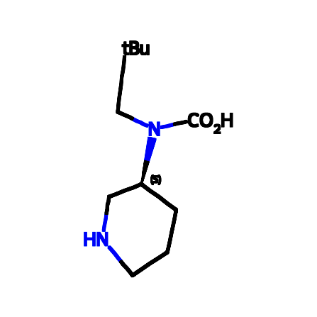 CC(C)(C)CN(C(=O)O)[C@H]1CCCNC1